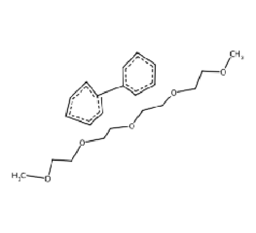 COCCOCCOCCOCCOC.c1ccc(-c2ccccc2)cc1